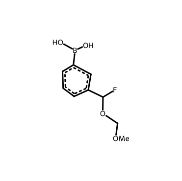 COCOC(F)c1cccc(B(O)O)c1